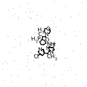 C=C(c1cncc(Cl)c1)c1ncc(F)c(N[C@@H]2CCC[C@@](P)([C@@H](C)C(=O)N3CCOCC3)C2)n1